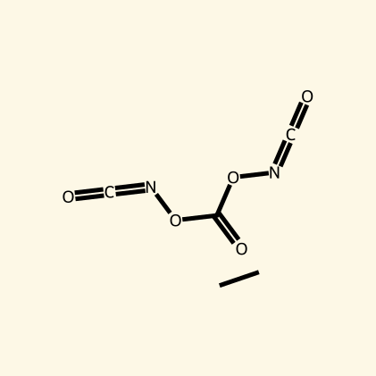 CC.O=C=NOC(=O)ON=C=O